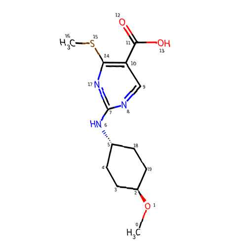 CO[C@H]1CC[C@H](Nc2ncc(C(=O)O)c(SC)n2)CC1